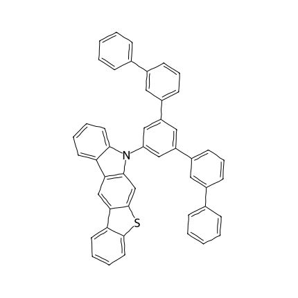 c1ccc(-c2cccc(-c3cc(-c4cccc(-c5ccccc5)c4)cc(-n4c5ccccc5c5cc6c(cc54)sc4ccccc46)c3)c2)cc1